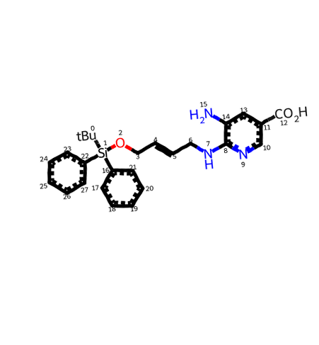 CC(C)(C)[Si](OC/C=C/CNc1ncc(C(=O)O)cc1N)(c1ccccc1)c1ccccc1